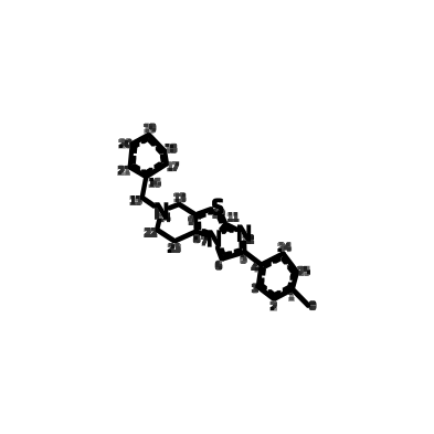 Cc1ccc(-c2cn3c4c(sc3n2)CN(Cc2ccccc2)CC4)cc1